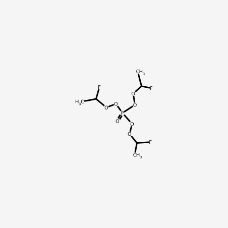 CC(F)OOP(=O)(OOC(C)F)OOC(C)F